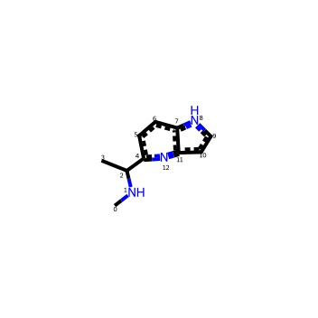 CNC(C)c1ccc2[nH]ccc2n1